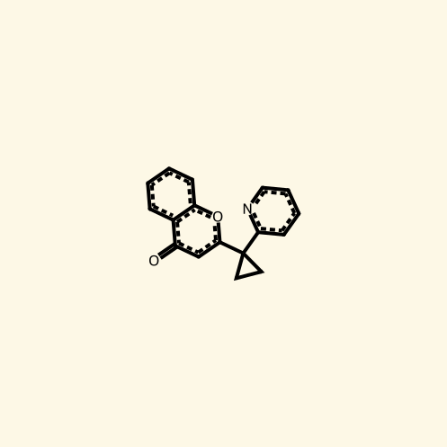 O=c1cc(C2(c3ccccn3)CC2)oc2ccccc12